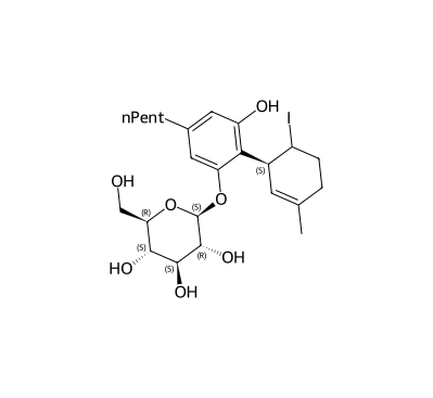 CCCCCc1cc(O)c([C@@H]2C=C(C)CCC2I)c(O[C@@H]2O[C@H](CO)[C@@H](O)[C@H](O)[C@H]2O)c1